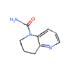 NC(=O)N1CCCc2ncccc21